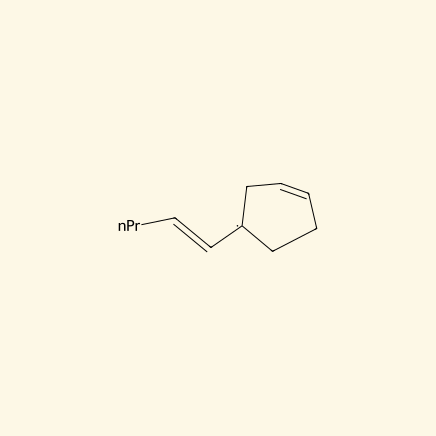 CCC/C=C/[C]1CC=CCC1